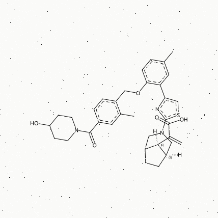 C=C(C(=O)O)[C@@H]1C2CC[C@@H]1CN(c1nc(-c3cc(C)ccc3OCc3ccc(C(=O)N4CCC(O)CC4)cc3C)cs1)C2